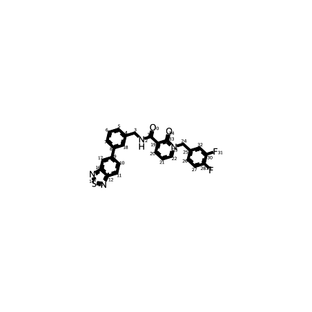 O=C(NCc1cccc(-c2ccc3nsnc3c2)c1)c1cccn(Cc2ccc(F)c(F)c2)c1=O